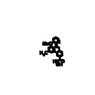 COc1cccnc1N(Cc1ccc(C(=O)NO)cc1)c1ccc(C)cn1